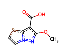 COc1nn2ccsc2c1C(=O)O